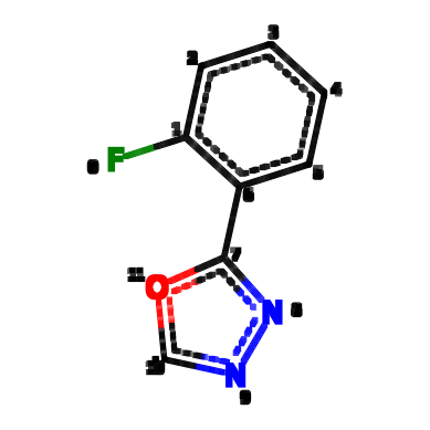 Fc1ccccc1-c1nn[c]o1